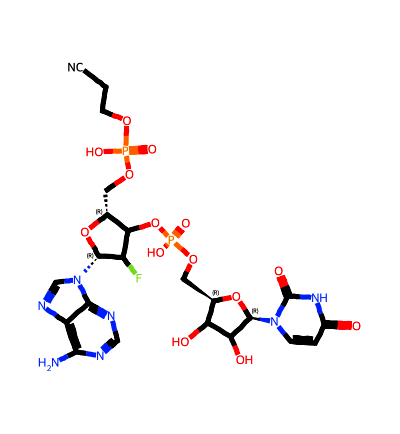 N#CCCOP(=O)(O)OC[C@H]1O[C@@H](n2cnc3c(N)ncnc32)C(F)C1OP(=O)(O)OC[C@H]1O[C@@H](n2ccc(=O)[nH]c2=O)C(O)C1O